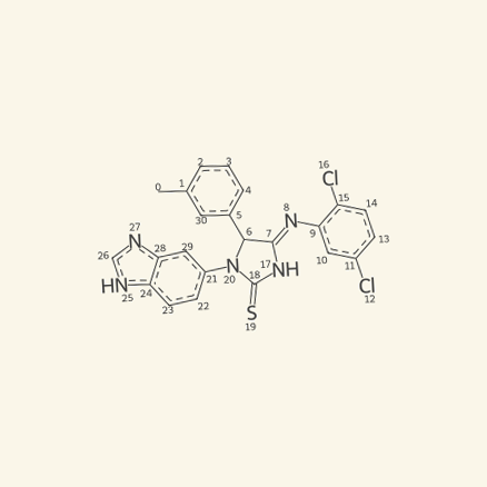 Cc1cccc(C2C(=Nc3cc(Cl)ccc3Cl)NC(=S)N2c2ccc3[nH]cnc3c2)c1